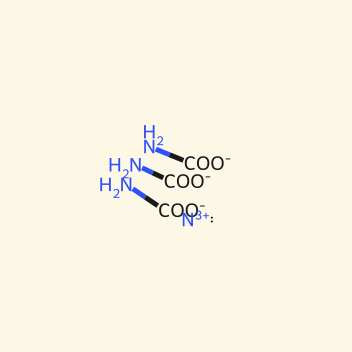 NC(=O)[O-].NC(=O)[O-].NC(=O)[O-].[N+3]